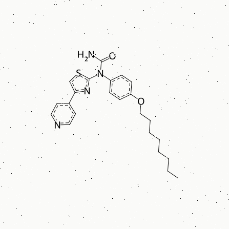 CCCCCCCCOc1ccc(N(C(N)=O)c2nc(-c3ccncc3)cs2)cc1